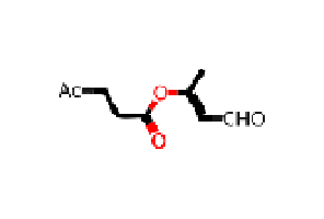 CC(=O)CCC(=O)OC(C)=CC=O